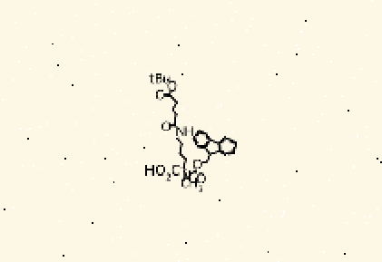 CN(C(=O)OCC1c2ccccc2-c2ccccc21)[C@@H](CCCCNC(=O)CCCC(=O)OC(C)(C)C)C(=O)O